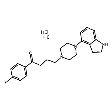 Cl.Cl.O=C(CCCN1CCN(c2cccc3[nH]ccc23)CC1)c1ccc(F)cc1